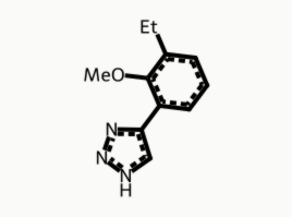 CCc1cccc(-c2c[nH]nn2)c1OC